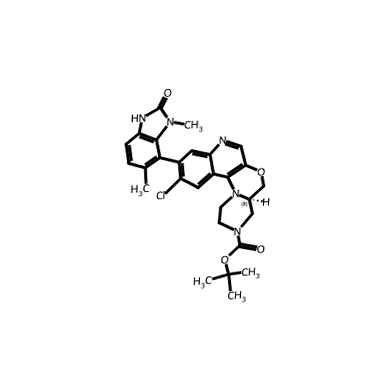 Cc1ccc2[nH]c(=O)n(C)c2c1-c1cc2ncc3c(c2cc1Cl)N1CCN(C(=O)OC(C)(C)C)C[C@@H]1CO3